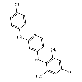 Cc1cc(Br)cc(C)c1Nc1ccnc(Nc2ccc(C#N)cc2)c1